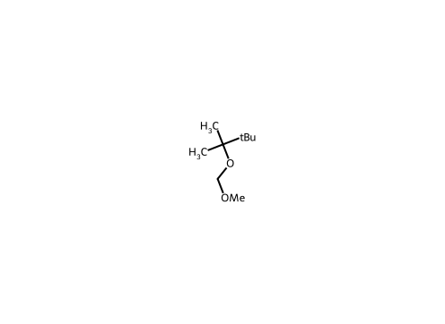 COCOC(C)(C)C(C)(C)C